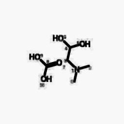 CN(C)CC(O)O.O=C(O)O